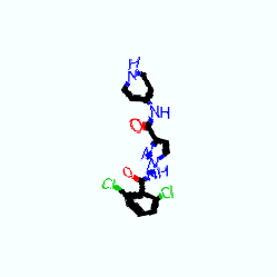 O=C(NC1CCNCC1)c1ccn(NC(=O)c2c(Cl)cccc2Cl)n1